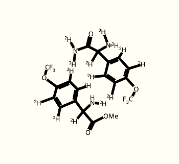 [2H]NC([2H])(C(=O)OC)c1c([2H])c([2H])c(OC(F)(F)F)c([2H])c1[2H].[2H]c1c([2H])c(C([2H])(C(=O)N([2H])[2H])N([2H])[2H])c([2H])c([2H])c1OC(F)(F)F